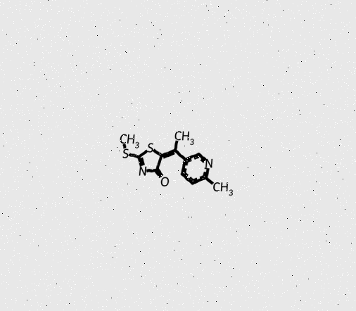 CSC1=NC(=O)C(=C(C)c2ccc(C)nc2)S1